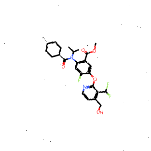 COC(=O)c1cc(Oc2nccc(CO)c2C(F)F)c(F)cc1N(C(=O)[C@H]1CC[C@H](C)CC1)C(C)C